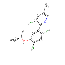 C[C@@H](Oc1cc(-c2ncc(C(F)(F)F)cc2F)c(F)cc1Cl)C(=O)O